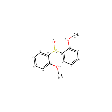 COc1ccccc1[S+]([O-])c1ccccc1OC